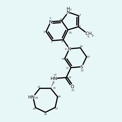 Cc1c[nH]c2nccc(N3C=C(C(=O)N[C@@H]4CCCCNC4)SCC3)c12